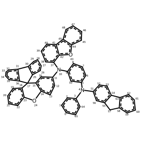 c1ccc(N(c2cccc(N(c3ccc4c(c3)C3(c5ccccc5O4)c4ccccc4-c4ccccc43)c3cccc4c3oc3ccccc34)c2)c2ccc3c(c2)Cc2ccccc2-3)cc1